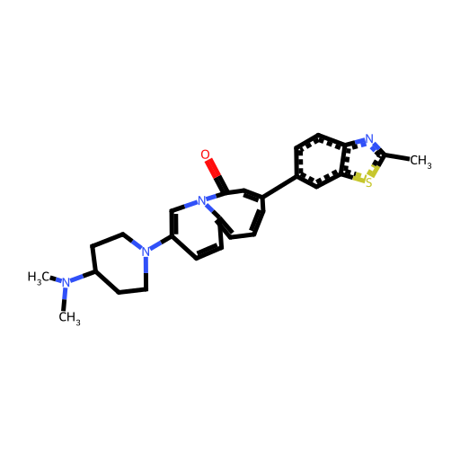 Cc1nc2ccc(C3=C\C(=O)N4C=C(N5CCC(N(C)C)CC5)C=C\C4=C/C=C/3)cc2s1